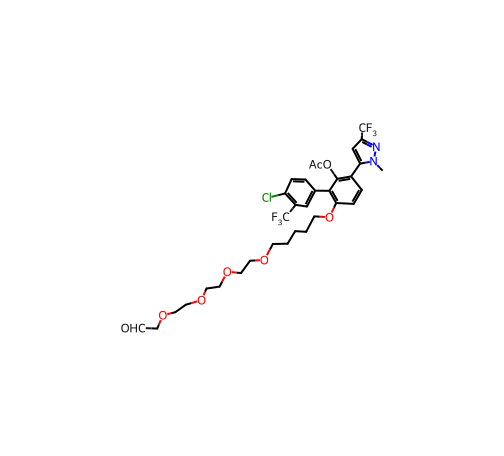 CC(=O)Oc1c(-c2cc(C(F)(F)F)nn2C)ccc(OCCCCCOCCOCCOCCOCC=O)c1-c1ccc(Cl)c(C(F)(F)F)c1